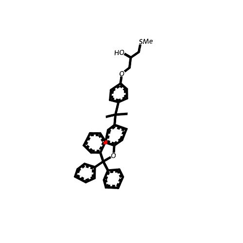 CSCC(O)COc1ccc(C(C)(C)c2ccc(OC(c3ccccc3)(c3ccccc3)c3ccccc3)cc2)cc1